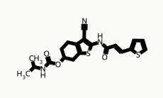 CC(C)NC(=O)OC1CCc2c(sc(NC(=O)C=Cc3cccs3)c2C#N)C1